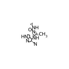 CC[C@H]1CN(C(=O)NC2CC2)C[C@H]1Nc1c(C#N)cnc2[nH]ccc12